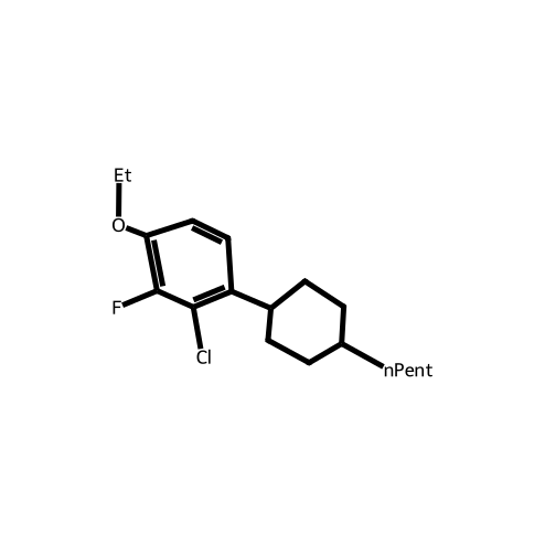 CCCCCC1CCC(c2ccc(OCC)c(F)c2Cl)CC1